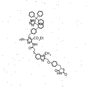 CCCc1nc(NC(=O)CSc2ccc3nc(COc4ccc(CC5SC(=O)NC5=O)cc4)n(C)c3c2)c(C(=O)OCC)n1Cc1ccc(-c2ccccc2-c2nnnn2C(c2ccccc2)(c2ccccc2)c2ccccc2)cc1